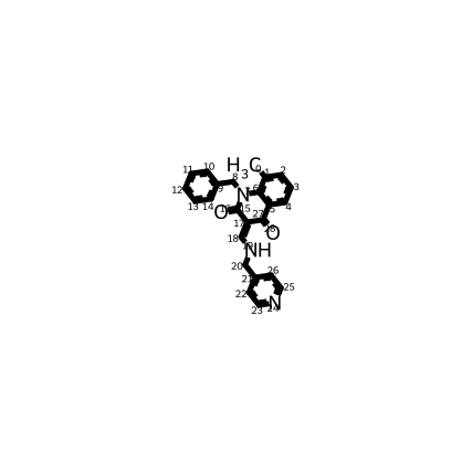 Cc1cccc2c1N(Cc1ccccc1)C(=O)/C(=C/NCc1ccncc1)C2=O